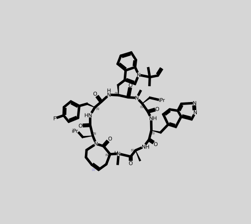 C=CC(C)(C)n1cc(C[C@@H]2NC(=O)[C@H](Cc3ccc(F)cc3)NC(=O)[C@H](CC(C)C)N3CC/C=C\C[C@@H](C3=O)N(C)C(=O)[C@H](C)NC(=O)[C@H](Cc3ccc4cnncc4c3)NC(=O)[C@H](CC(C)C)N(C)C2=O)c2ccccc21